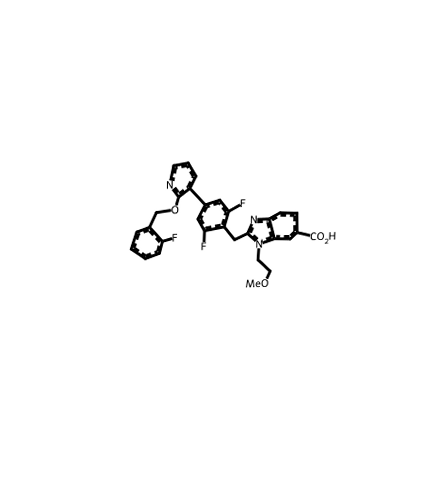 COCCn1c(Cc2c(F)cc(-c3cccnc3OCc3ccccc3F)cc2F)nc2ccc(C(=O)O)cc21